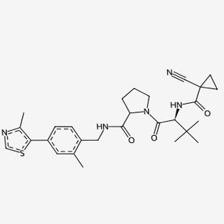 Cc1cc(-c2scnc2C)ccc1CNC(=O)C1CCCN1C(=O)[C@@H](NC(=O)C1(C#N)CC1)C(C)(C)C